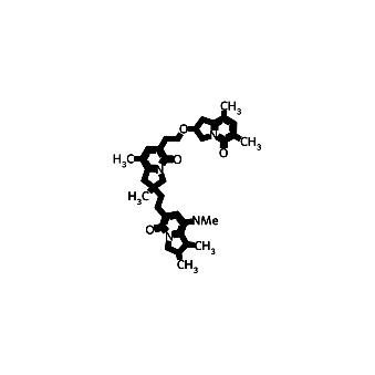 CNc1cc(CCC2(C)Cc3c(C)cc(CCOC4Cc5c(C)cc(C)c(=O)n5C4)c(=O)n3C2)c(=O)n2c1C(C)C(C)C2